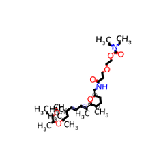 CC[C@H](OC)C(C)OC(C)(C)C[C@H](C)/C=C/C=C(\C)[C@H]1O[C@@H](CNC(=O)CCOCCOC(=O)N(CC)CC)CC[C@@H]1C